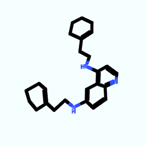 C1=C(CCNc2ccc3nccc(NCCC4=CCCCC4)c3c2)CCCC1